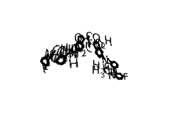 Cc1c(CNc2ccc3c(c2)OC[C@H]3C(C(=O)O)C(C(=O)O)[C@@H]2COc3cc(NCc4cccc(-n5c(C)nc6ccc(F)cc65)c4C)ccc32)cccc1-n1c(C)nc2ccc(F)cc21